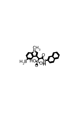 Bc1ccc2c(c1)c(C(C(=O)Nc1ccc3ccccc3c1)P(=O)(O)O)cn2C